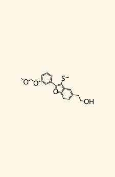 COCOc1cccc(-c2oc3ccc(CCO)cc3c2SC)c1